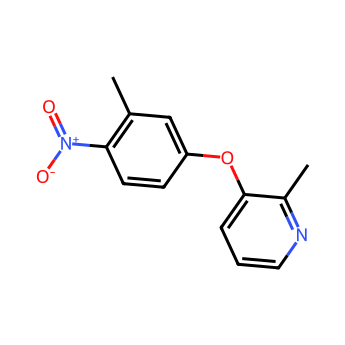 Cc1cc(Oc2cccnc2C)ccc1[N+](=O)[O-]